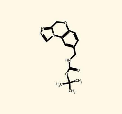 CC(C)(C)OC(=O)NCc1ccc2c(c1)-n1cnnc1CO2